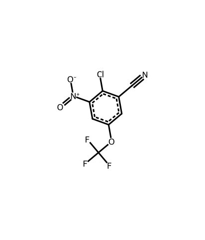 N#Cc1cc(OC(F)(F)F)cc([N+](=O)[O-])c1Cl